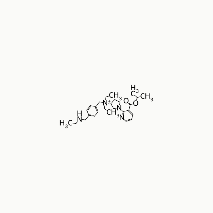 CCNCc1ccc(C[N+](CC)(CC)[C@@H]2CCN(c3ncccc3C(=O)OC(C)C)C2)cc1